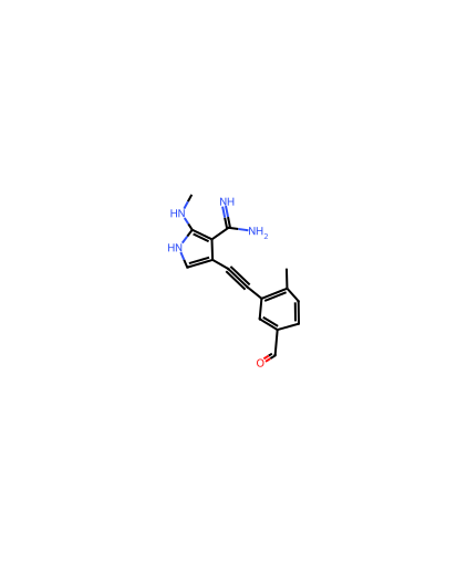 CNc1[nH]cc(C#Cc2cc(C=O)ccc2C)c1C(=N)N